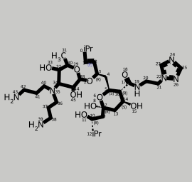 CC(C)/C=C/[C@@H](C[C@@H]1O[C@](O)(C[C@@H](O)C(C)C)C[C@H](O)[C@H]1C(=O)NCCn1cncn1)OC1OC(C)C(O)C(N(CCCN)CCCN)C1O